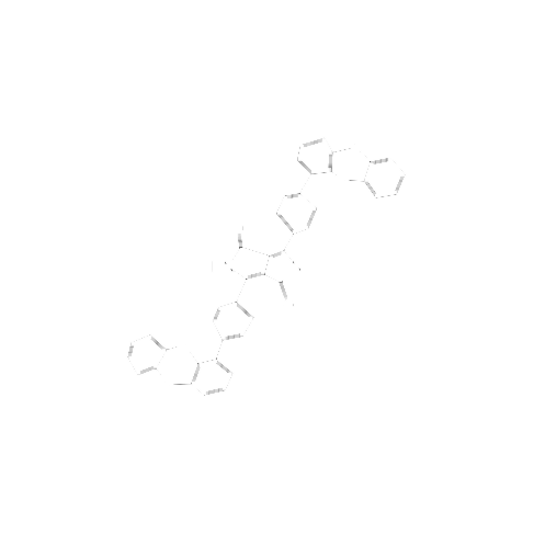 O=C1NC(c2ccc(-c3cccc4c3Sc3ccccc3S4)cc2)=C2C(=O)NC(c3ccc(-c4cccc5c4Sc4ccccc4S5)cc3)=C12